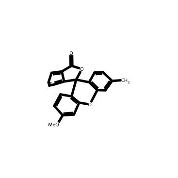 COc1ccc2c(c1)Oc1cc(C)ccc1C21OC(=O)c2ccccc21